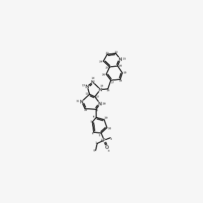 CCP(C)(=O)c1ccc(-c2cnc3nnn(Cc4ccc5ncccc5c4)c3n2)cc1